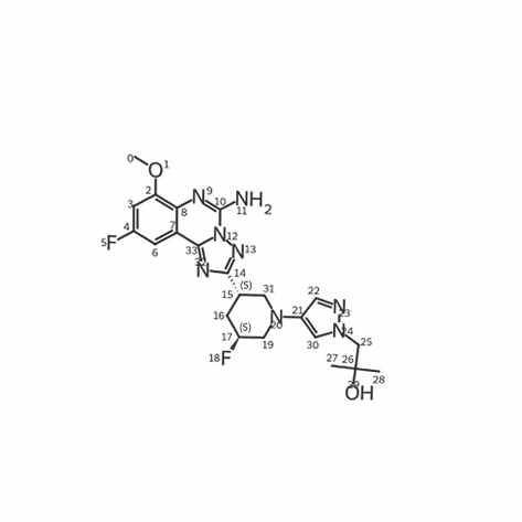 COc1cc(F)cc2c1nc(N)n1nc([C@H]3C[C@H](F)CN(c4cnn(CC(C)(C)O)c4)C3)nc21